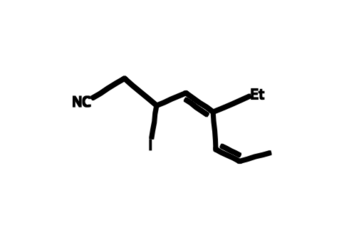 C/C=C\C(=C/C(I)CC#N)CC